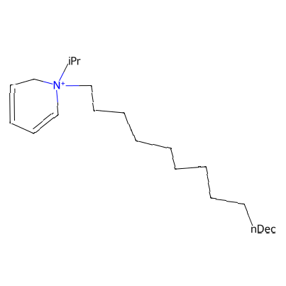 CCCCCCCCCCCCCCCCCCC[N+]1(C(C)C)C=CC=CC1